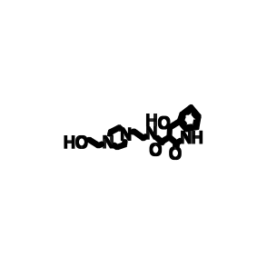 O=C(NCCN1CCN(CCO)CC1)C1C(=O)Nc2ccccc2C1=O